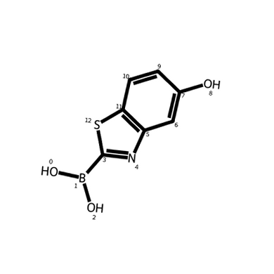 OB(O)c1nc2cc(O)ccc2s1